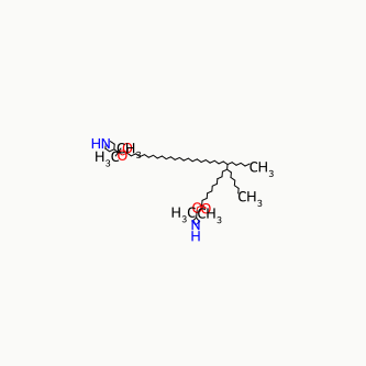 CCCCCCCC(CCCCCCCCCC(=O)OC(C)(C)C1CNC1)C(CCCCCC)CCCCCCCCCCCCCCCCCCCCCCC(=O)OC(C)(C)C1CCNCC1